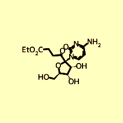 CCOC(=O)CCC(=O)[C@@]1(n2ccc(N)nc2=O)O[C@H](CO)[C@@H](O)[C@H]1O